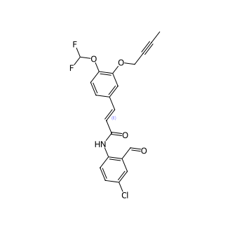 CC#CCOc1cc(/C=C/C(=O)Nc2ccc(Cl)cc2C=O)ccc1OC(F)F